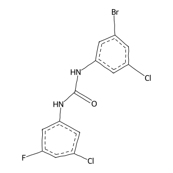 O=C(Nc1cc(F)cc(Cl)c1)Nc1cc(Cl)cc(Br)c1